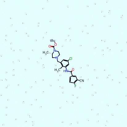 Cc1c(CN2CCN(C(=O)OC(C)(C)C)[C@@H](C)C2)cc(Cl)cc1NC(=O)c1ccc(F)c(C#N)c1